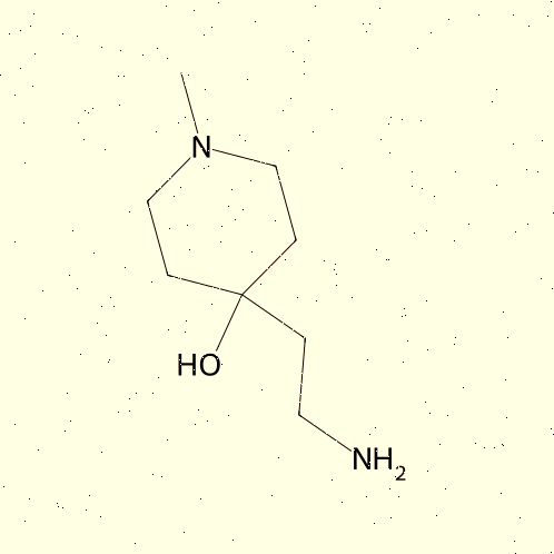 CN1CCC(O)(CCN)CC1